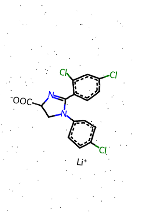 O=C([O-])C1CN(c2ccc(Cl)cc2)C(c2ccc(Cl)cc2Cl)=N1.[Li+]